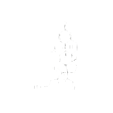 CCCC(=O)O[C@]1(C(=O)CCl)CC[C@H]2[C@@H]3CCC4=CC(=O)C=C[C@]4(C)[C@@]3(Cl)[C@@H](O)C[C@@]21C